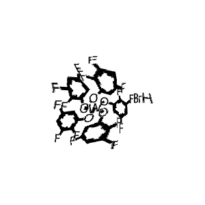 Br.Fc1cc(F)c(F)c([O][W]([O]c2cc(F)cc(F)c2F)([O]c2cc(F)cc(F)c2F)([O]c2cc(F)cc(F)c2F)[O]c2cc(F)cc(F)c2F)c1